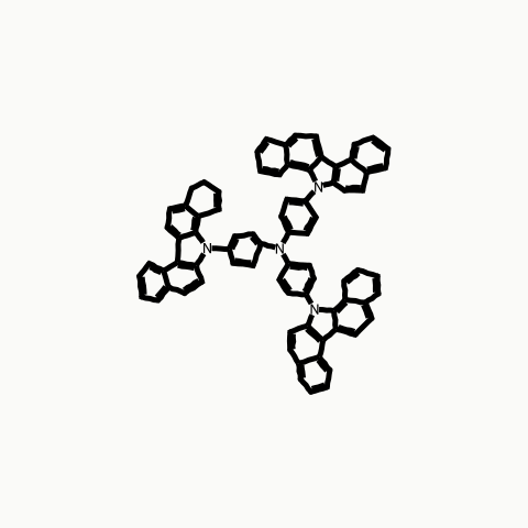 C1=Cc2c(ccc3c4c5ccccc5ccc4n(-c4ccc(N(c5ccc(-n6c7ccc8ccccc8c7c7ccc8ccccc8c76)cc5)c5ccc(-n6c7ccc8ccccc8c7c7ccc8ccccc8c76)cc5)cc4)c23)CC1